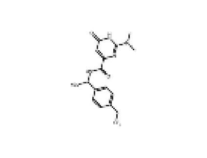 CN(C)c1nc(C(=O)NC(c2ccc(CC(F)(F)F)cc2)C(C)(C)C)cc(=O)[nH]1